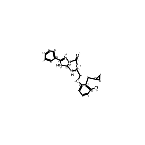 O=C1CC(COc2cccc(Cl)c2CC2CC2)NC2NC(c3ccccc3)=NN12